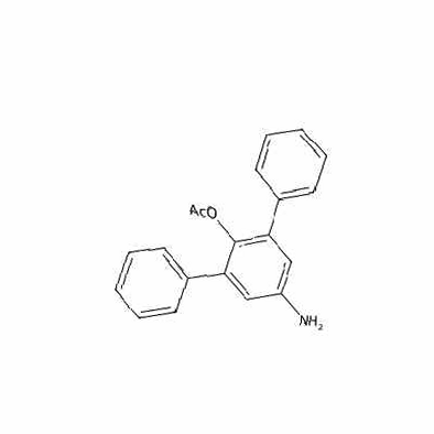 CC(=O)Oc1c(-c2ccccc2)cc(N)cc1-c1ccccc1